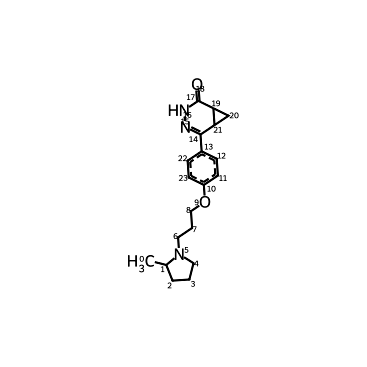 CC1CCCN1CCCOc1ccc(C2=NNC(=O)C3CC23)cc1